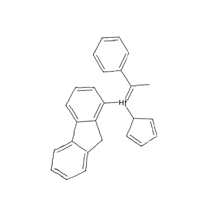 C[C](c1ccccc1)=[Hf]([c]1cccc2c1Cc1ccccc1-2)[CH]1C=CC=C1